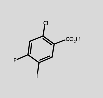 O=C(O)c1cc(I)c(F)cc1Cl